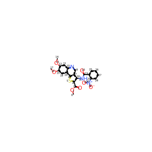 COC(=O)c1sc2c(cnc3cc(OC)c(OC)cc32)c1NC(=O)c1ccccc1[N+](=O)[O-]